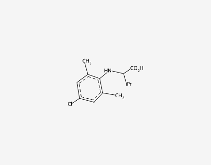 Cc1cc(Cl)cc(C)c1NC(C(=O)O)C(C)C